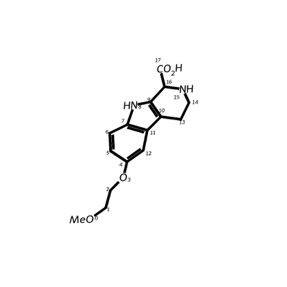 COCCOc1ccc2[nH]c3c(c2c1)CCNC3C(=O)O